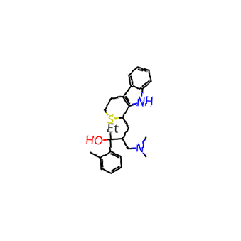 CCC(O)(c1ccccc1C)C(CC1SCCc2c1[nH]c1ccccc21)CN(C)C